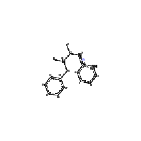 CC(/N=c1\cccc[nH]1)N(C)Cc1ccccc1